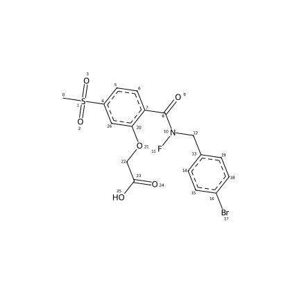 CS(=O)(=O)c1ccc(C(=O)N(F)Cc2ccc(Br)cc2)c(OCC(=O)O)c1